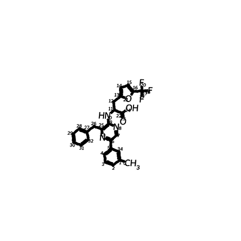 Cc1cccc(-c2cnc(NC(Cc3ccc(C(F)(F)F)o3)C(=O)O)c(Cc3ccccc3)n2)c1